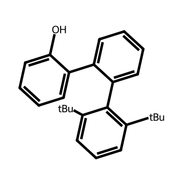 CC(C)(C)c1cccc(C(C)(C)C)c1-c1ccccc1-c1ccccc1O